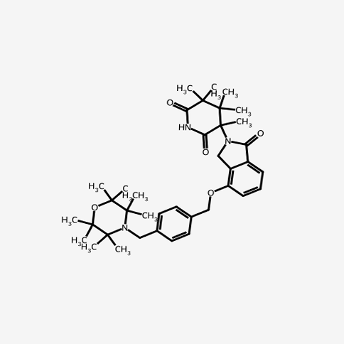 CC1(C)OC(C)(C)C(C)(C)N(Cc2ccc(COc3cccc4c3CN(C3(C)C(=O)NC(=O)C(C)(C)C3(C)C)C4=O)cc2)C1(C)C